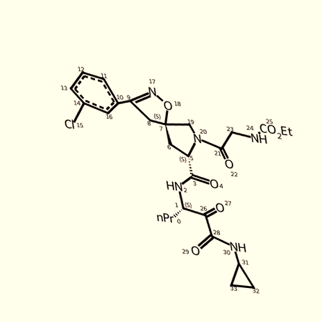 CCC[C@H](NC(=O)[C@@H]1C[C@]2(CC(c3cccc(Cl)c3)=NO2)CN1C(=O)CNC(=O)OCC)C(=O)C(=O)NC1CC1